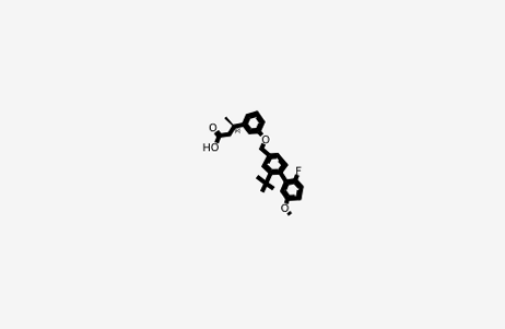 COc1ccc(F)c(-c2ccc(COc3cccc([C@H](C)CC(=O)O)c3)cc2C(C)(C)C)c1